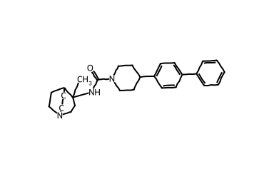 CC1(NC(=O)N2CCC(c3ccc(-c4ccccc4)cc3)CC2)CCN2CCC1CC2